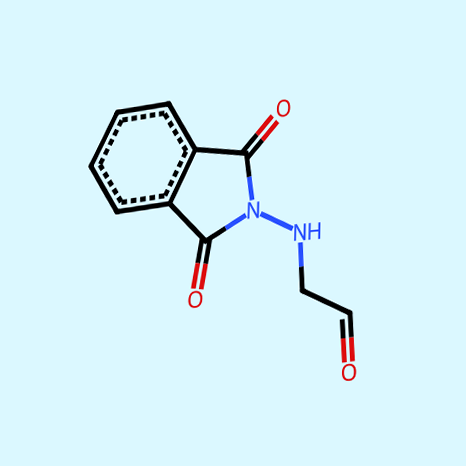 O=CCNN1C(=O)c2ccccc2C1=O